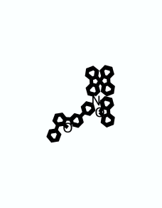 c1ccc(-c2cccc3c2oc2ccc(-c4ccc(N(c5ccc6c(c5)C5(c7ccccc7-c7ccccc75)c5ccccc5-6)c5cccc6c5oc5ccccc56)cc4)cc23)cc1